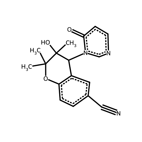 CC1(C)Oc2ccc(C#N)cc2C(n2cnccc2=O)C1(C)O